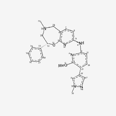 COc1nc(Nc2ccc3c(n2)O[C@H](c2ccccc2)CN(C)C3)ccc1-c1cnn(C)c1